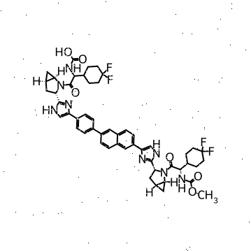 COC(=O)N[C@H](C(=O)N1[C@@H]2C[C@@H]2C[C@H]1c1nc(-c2ccc3cc(-c4ccc(-c5c[nH]c([C@@H]6C[C@H]7C[C@H]7N6C(=O)[C@@H](NC(=O)O)C6CCC(F)(F)CC6)n5)cc4)ccc3c2)c[nH]1)C1CCC(F)(F)CC1